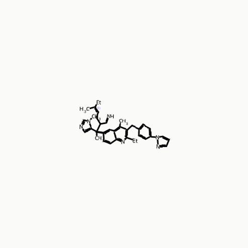 CC/C(C)=C/CC(C=N)C(C)(c1ccc2nc(CC)c(Cc3ccc(-n4cccn4)cc3)c(C)c2c1)c1cncn1C